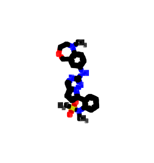 CN1CCOCc2cc(Nc3ncc4ccc(-c5ccccc5N(C)S(C)(=O)=O)n4n3)ccc21